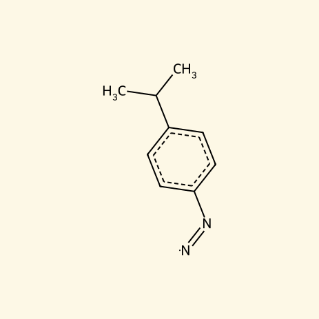 CC(C)c1ccc(N=[N])cc1